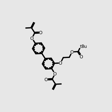 C=C(C)C(=O)Oc1ccc(-c2ccc(OC(=O)C(=C)C)c(OCCOC(=O)C(C)(C)C)c2)cc1